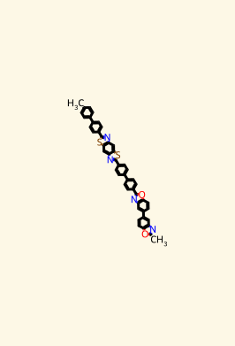 Cc1ccc(-c2ccc(-c3nc4cc5sc(-c6ccc(-c7ccc(-c8nc9cc(-c%10ccc%11oc(C)nc%11c%10)ccc9o8)cc7)cc6)nc5cc4s3)cc2)cc1